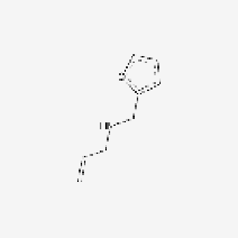 C=CCNCc1ccco1